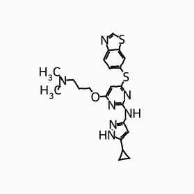 CN(C)CCCOc1cc(Sc2ccc3ncsc3c2)nc(Nc2cc(C3CC3)[nH]n2)n1